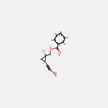 O=C(OCC1(F)C[C@@H]1C#CBr)c1ccccc1